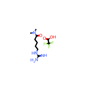 CN(C)C(=O)CCCCNC(=N)N.O=C(O)C(F)(F)F